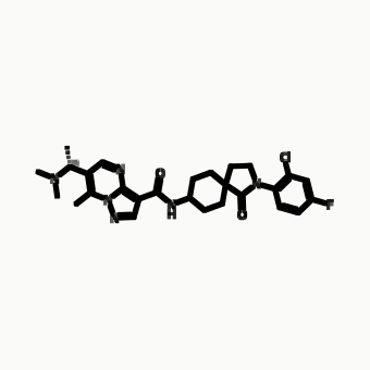 Cc1c([C@@H](C)N(C)C)cnc2c(C(=O)NC3CCC4(CC3)CCN(c3ccc(F)cc3Cl)C4=O)cnn12